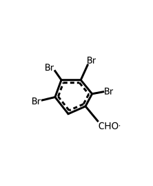 O=[C]c1cc(Br)c(Br)c(Br)c1Br